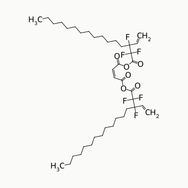 C=CC(F)(CCCCCCCCCCCCC)C(F)(F)C(=O)OC(=O)/C=C\C(=O)OC(=O)C(F)(F)C(F)(C=C)CCCCCCCCCCCCC